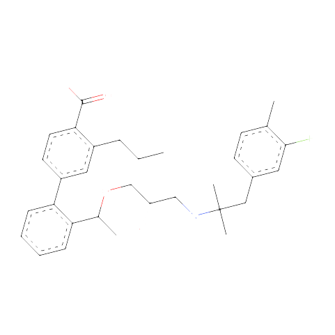 CCCc1cc(-c2ccccc2C(C)OC[C@@H](O)CNC(C)(C)Cc2ccc(C)c(F)c2)ccc1C(=O)O